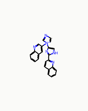 [C]1=C[N+](c2cnc3ccccc3c2)(c2c[nH]c(-c3ccc4ccccc4n3)n2)C=N1